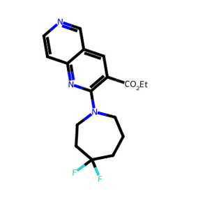 CCOC(=O)c1cc2cnccc2nc1N1CCCC(F)(F)CC1